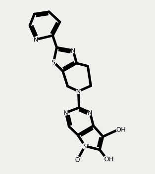 [O-][s+]1c(O)c(O)c2nc(N3CCc4nc(-c5ccccn5)sc4C3)ncc21